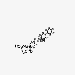 C[C@H](NC(=O)O)C(=O)N1CCN(CCOC2(C#N)C=CC(c3ccccc3)C=C2)CC1